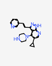 C(=C\c1n[nH]c2ncc(C3CC3)c(N3CCNCC3)c12)/c1cccnc1